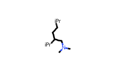 CC(C)CCC(CN(C)C)C(C)C